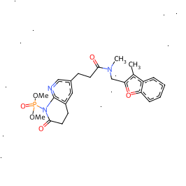 COP(=O)(OC)N1C(=O)CCc2cc(CCC(=O)N(C)Cc3oc4ccccc4c3C)cnc21